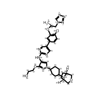 C[C@@H](Cn1cnnn1)Oc1cc(-c2cnc(Nc3cn(C4CCC(N5[C@@H]6CC[C@H]5COC6)CC4)nc3OCCO)nc2)ccc1Cl